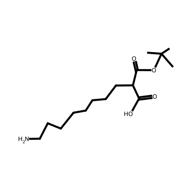 CC(C)(C)OC(=O)C(CCCCCCCCN)C(=O)O